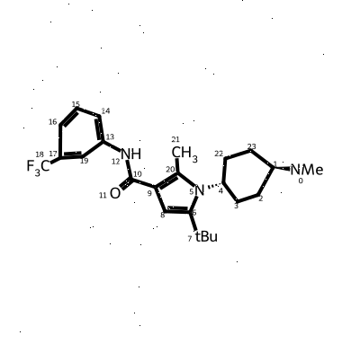 CN[C@H]1CC[C@H](n2c(C(C)(C)C)cc(C(=O)Nc3cccc(C(F)(F)F)c3)c2C)CC1